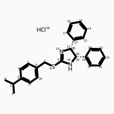 CC(C)c1ccc(CSC2=N[C@H](c3ccccc3)[C@H](c3ccccc3)N2)cc1.Cl